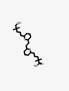 CC(C)(CO)CCCC1CCCC(CCC2CCCC(CCCC(C)(C)C(=O)O)S2)S1